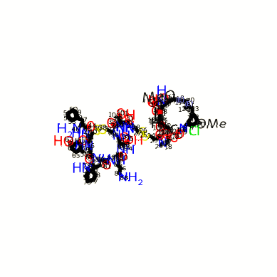 COc1cc2cc(c1Cl)N(C)C(=O)C[C@H](OC(=O)[C@H](C)N(C)C(=O)CCSSCCNC(=O)[C@@H](NC(=O)[C@@H]1CSSC[C@H](NC(=O)[C@H](N)Cc3ccccc3)C(=O)N[C@@H](Cc3ccc(O)cc3)C(=O)N[C@H](Cc3c[nH]c4ccccc34)C(=O)N[C@@H](CCCCN)C(=O)N[C@@H]([C@@H](C)O)C(=O)N1)[C@@H](C)O)[C@]1(C)O[C@H]1[C@H](C)[C@@H]1C[C@@](O)(NC(=O)O1)[C@H](OC)/C=C/C=C(\C)C2